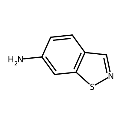 Nc1ccc2cnsc2c1